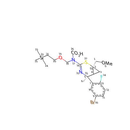 COC[C@]12CC1[C@@](C)(c1cc(Br)ccc1F)N=C(N(COCC[Si](C)(C)C)C(=O)O)S2